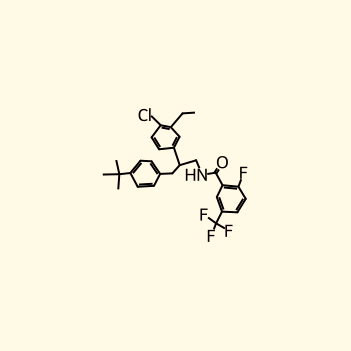 CCc1cc(C(CNC(=O)c2cc(C(F)(F)F)ccc2F)Cc2ccc(C(C)(C)C)cc2)ccc1Cl